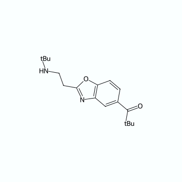 CC(C)(C)NCCc1nc2cc(C(=O)C(C)(C)C)ccc2o1